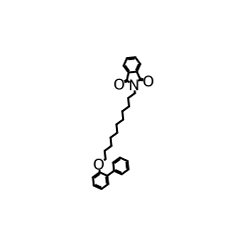 O=C1c2ccccc2C(=O)N1CCCCCCCCCCCOc1ccccc1-c1ccccc1